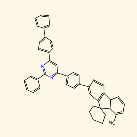 N#CC1=CC=CC2c3ccc(-c4ccc(-c5cc(-c6ccc(-c7ccccc7)cc6)nc(-c6ccccc6)n5)cc4)cc3C3(CCCCC3)C12